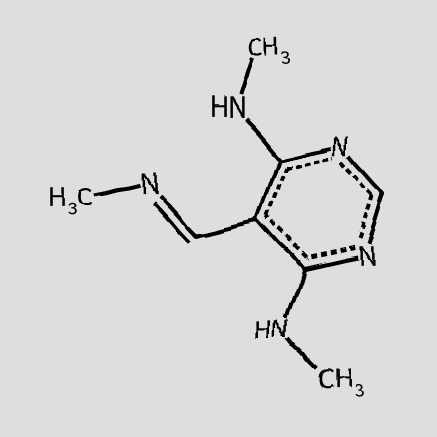 CN=Cc1c(NC)ncnc1NC